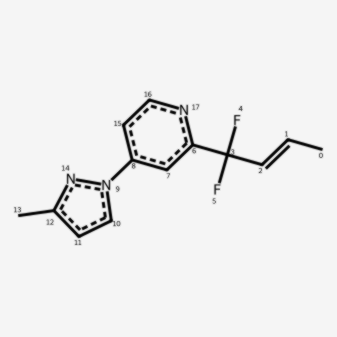 C/C=C/C(F)(F)c1cc(-n2ccc(C)n2)ccn1